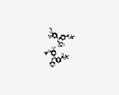 CCOc1ccc(N(Cc2cnco2)c2ccc(C(=O)OC(C)(C)C)cc2)cc1OC.COc1ccc(N(Cc2cncnc2)c2cccc(C(=O)OC(C)(C)C)c2)cc1OC1CC1